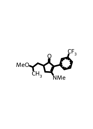 CNC1=C(c2cccc(C(F)(F)F)c2)C(=O)C(CC(C)OC)C1